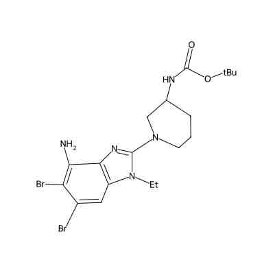 CCn1c(N2CCCC(NC(=O)OC(C)(C)C)C2)nc2c(N)c(Br)c(Br)cc21